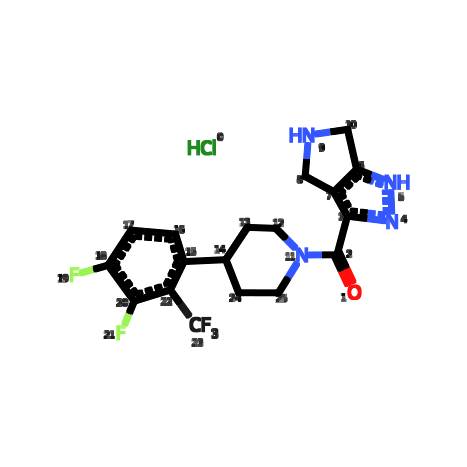 Cl.O=C(c1n[nH]c2c1CNC2)N1CCC(c2ccc(F)c(F)c2C(F)(F)F)CC1